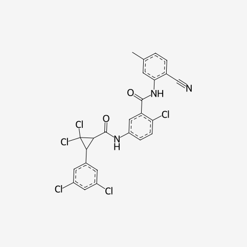 Cc1ccc(C#N)c(NC(=O)c2cc(NC(=O)C3C(c4cc(Cl)cc(Cl)c4)C3(Cl)Cl)ccc2Cl)c1